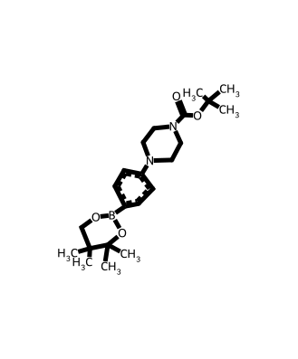 CC(C)(C)OC(=O)N1CCN(c2ccc(B3OCC(C)(C)C(C)(C)O3)cc2)CC1